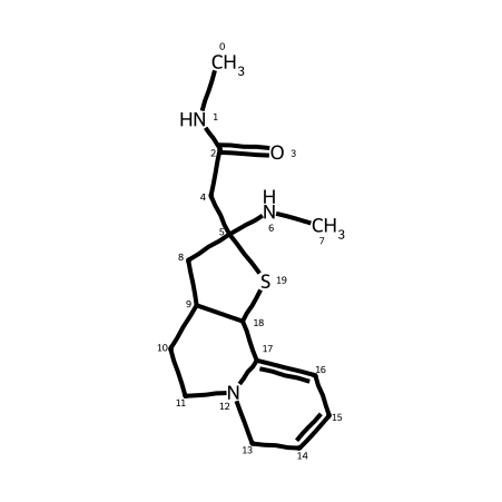 CNC(=O)CC1(NC)CC2CCN3CC=CC=C3C2S1